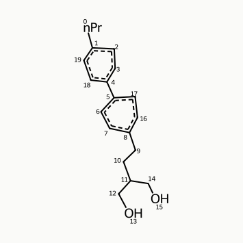 CCCc1ccc(-c2ccc(CCC(CO)CO)cc2)cc1